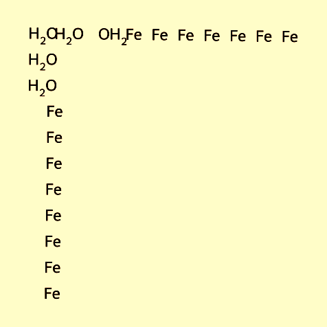 O.O.O.O.O.[Fe].[Fe].[Fe].[Fe].[Fe].[Fe].[Fe].[Fe].[Fe].[Fe].[Fe].[Fe].[Fe].[Fe].[Fe]